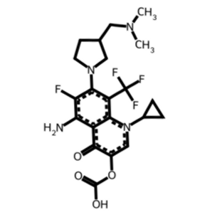 CN(C)CC1CCN(c2c(F)c(N)c3c(=O)c(OC(=O)O)cn(C4CC4)c3c2C(F)(F)F)C1